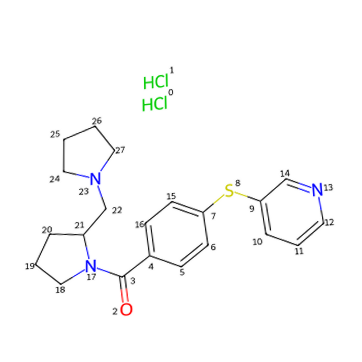 Cl.Cl.O=C(c1ccc(Sc2cccnc2)cc1)N1CCCC1CN1CCCC1